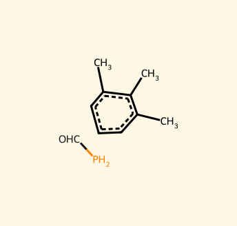 Cc1cccc(C)c1C.O=CP